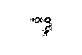 FC(F)(F)c1ccc(Oc2cccc(N3CC4(CCNCC4)C3)c2)nc1